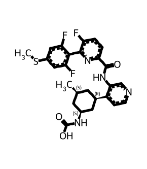 CSc1cc(F)c(-c2nc(C(=O)Nc3cnccc3[C@@H]3C[C@H](C)C[C@H](NC(=O)O)C3)ccc2F)c(F)c1